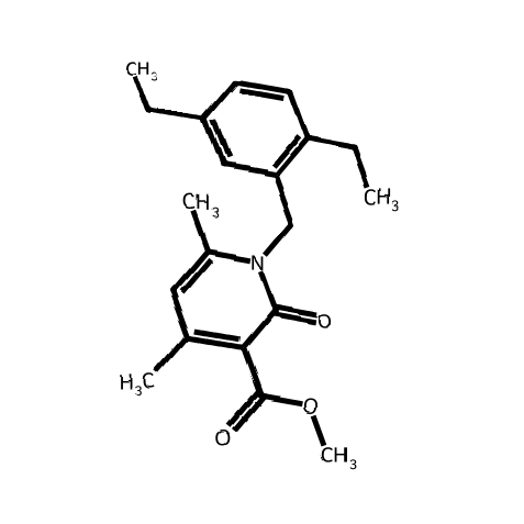 CCc1ccc(CC)c(Cn2c(C)cc(C)c(C(=O)OC)c2=O)c1